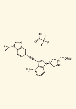 COC[C@H]1C[C@H](n2cc(C#Cc3ccc4c(c3)ncn4C3CC3)c3c(N)nccc32)CN1.O=C(O)C(F)(F)F